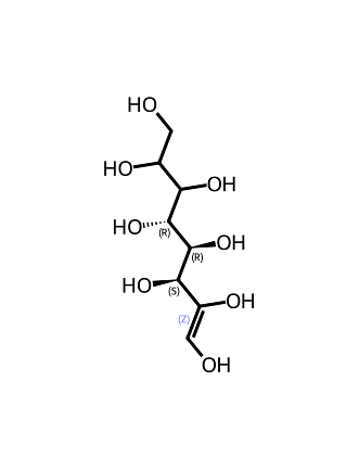 O/C=C(\O)[C@@H](O)[C@H](O)[C@H](O)C(O)C(O)CO